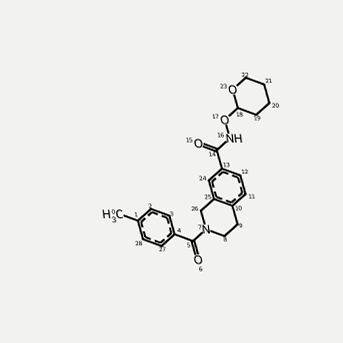 Cc1ccc(C(=O)N2CCc3ccc(C(=O)NOC4CCCCO4)cc3C2)cc1